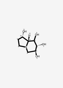 OC1[C@H](O)[C@@H](O)CN2CC[C@H](O)[C@H]12